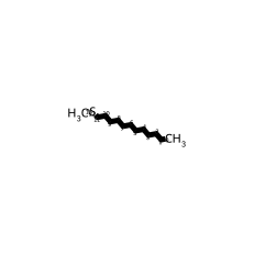 CCCCCCCCCCCCSC